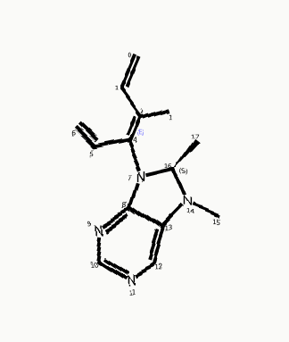 C=C/C(C)=C(\C=C)N1c2ncncc2N(C)[C@@H]1C